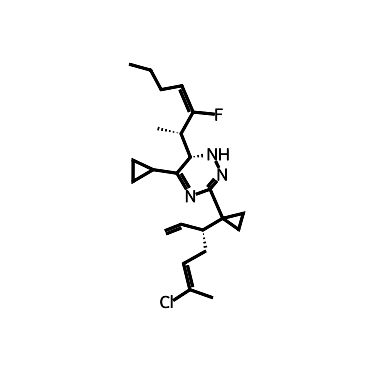 C=C[C@@H](C/C=C(\C)Cl)C1(C2=NN[C@@H]([C@H](C)/C(F)=C\CCC)C(C3CC3)=N2)CC1